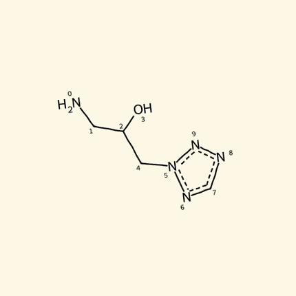 NCC(O)Cn1ncnn1